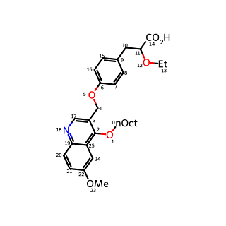 CCCCCCCCOc1c(COc2ccc(CC(OCC)C(=O)O)cc2)cnc2ccc(OC)cc12